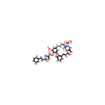 COc1cc(CCCC2OC(=O)N(Cc3coc(C=Cc4ccccc4)n3)C2=O)cc(OC)c1OCc1coc(C=Cc2ccccc2)n1